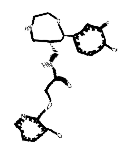 O=C(COc1ncccc1Cl)NC[C@@H]1CNCCO[C@H]1c1ccc(Cl)c(F)c1